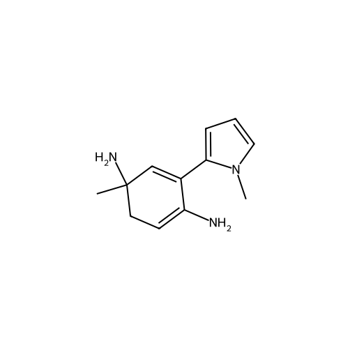 Cn1cccc1C1=CC(C)(N)CC=C1N